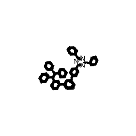 c1ccc(C(=C(c2ccccc2)c2cccc(-c3cccc(-c4ccc(-c5nc(-c6ccccc6)nc(-c6ccccc6)n5)cc4)c3)c2)c2ccccc2)cc1